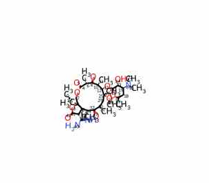 CC[C@@H]1OC(=O)[C@H](C)C(=O)[C@H](C)[C@@H](OC2O[C@H](C)C[C@H](N(C)C)[C@H]2O)[C@](C)(OC)C[C@@H](C)C(=O)[C@H](C)[C@H]2[C@H](C(=N)N)C(=O)O[C@]21C